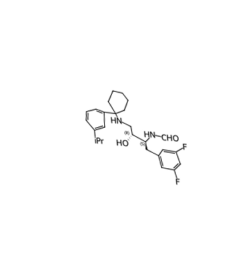 CC(C)c1cccc(C2(NC[C@@H](O)[C@H](Cc3cc(F)cc(F)c3)NC=O)CCCCC2)c1